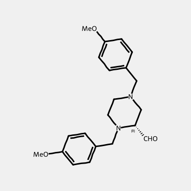 COc1ccc(CN2CCN(Cc3ccc(OC)cc3)[C@@H](C=O)C2)cc1